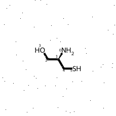 N[C@H](CO)CS